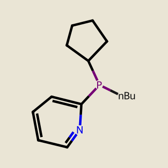 CCCCP(c1ccccn1)C1CCCC1